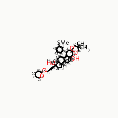 CSc1ccc([C@H]2C[C@@]3(C)[C@@H](CC[C@@]3(O)C#CCOC3CCCCO3)[C@@H]3CC[C@@]4(O)CC5(CCC4=C32)OCC(C)(C)CO5)cc1